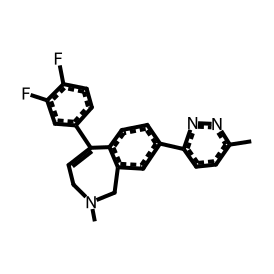 Cc1ccc(-c2ccc3c(c2)CN(C)CC=C3c2ccc(F)c(F)c2)nn1